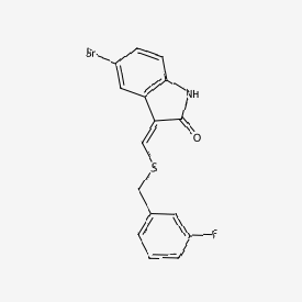 O=C1Nc2ccc(Br)cc2C1=CSCc1cccc(F)c1